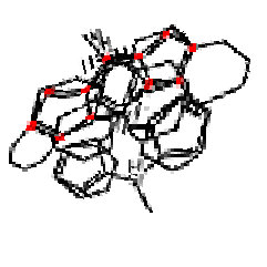 C[SiH]1C2=CC3=C(CCCC3)[CH]2[Hf-4]234([CH]5C1=CC1=C5CCCC1)([CH]1C(=CC5=C1CCCC5)[SiH](C)C1=CC5=C(CCCC5)[CH]12)([CH]1C(=CC2=C1CCCC2)[SiH](C)C1=CC2=C(CCCC2)[CH]13)[CH]1C(=CC2=C1CCCC2)[SiH](C)C1=CC2=C(CCCC2)[CH]14